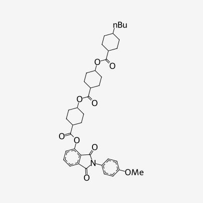 CCCCC1CCC(C(=O)OC2CCC(C(=O)OC3CCC(C(=O)Oc4cccc5c4C(=O)N(c4ccc(OC)cc4)C5=O)CC3)CC2)CC1